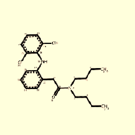 CCCCN(CCCC)C(=O)Cc1ccccc1Nc1c(Cl)cccc1Cl